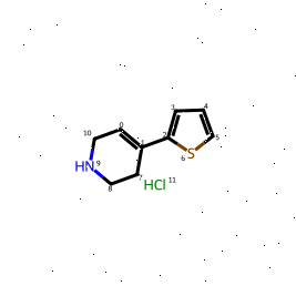 C1=C(c2cccs2)CCNC1.Cl